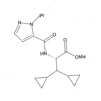 COC(=O)[C@@H](NC(=O)c1ccnn1C(C)C)C(C1CC1)C1CC1